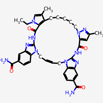 CCn1cc(C)c2c1C(=O)Nc1nc3cc(C(N)=O)ccc3n1CC=CCn1c(nc3cc(C(N)=O)ccc31)NC(=O)c1cc(C)nn1CCCCC2